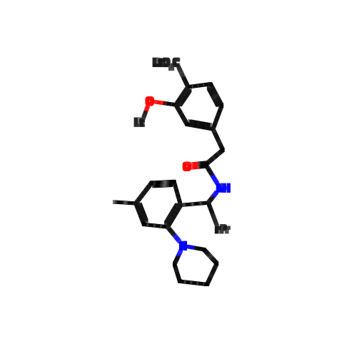 CCCC(NC(=O)Cc1ccc(C(=O)OCC)c(OCC)c1)c1ccc(C)cc1N1CCCCC1